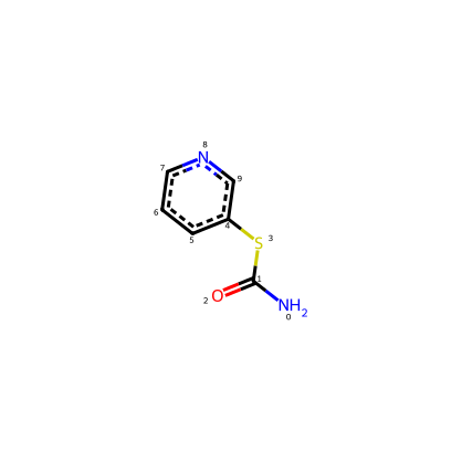 NC(=O)Sc1cccnc1